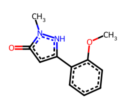 COc1ccccc1-c1cc(=O)n(C)[nH]1